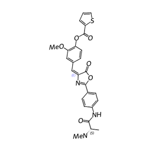 CN[C@@H](C)C(=O)Nc1ccc(C2=N/C(=C/c3ccc(OC(=O)c4cccs4)c(OC)c3)C(=O)O2)cc1